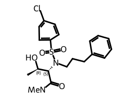 CNC(=O)[C@H]([C@@H](C)O)N(CCCc1ccccc1)S(=O)(=O)c1ccc(Cl)cc1